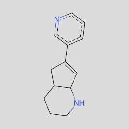 C1=C(c2cccnc2)CC2CCCNC12